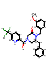 COc1cccc(CN2C(=O)CN(C(=O)c3ccc(C(F)(F)F)cn3)C[C@@H]2Cc2ccccc2)c1